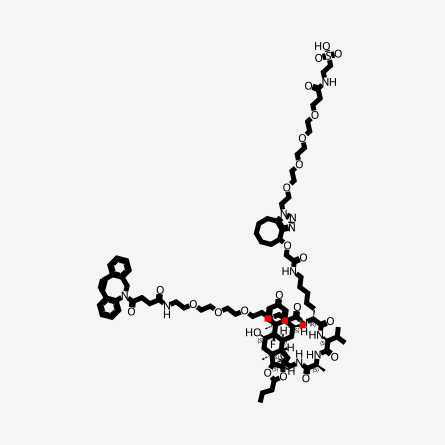 CCCC1O[C@@H]2C[C@H]3[C@@H]4C[C@H](F)C5=CC(=O)C=C[C@]5(C)[C@@]4(F)[C@@H](O)C[C@]3(C)[C@]2(C(=O)CNC(=O)[C@H](C)NC(=O)[C@@H](NC(=O)[C@@H](CCCCCNC(=O)COC2CCCCCc3c2nnn3CCOCCOCCOCCOCCC(=O)NCCS(=O)(=O)O)NC(=O)CCOCCOCCOCCOCCNC(=O)CCC(=O)N2Cc3ccccc3C#Cc3ccccc32)C(C)C)O1